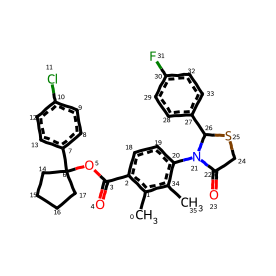 Cc1c(C(=O)OC2(c3ccc(Cl)cc3)CCCC2)ccc(N2C(=O)CSC2c2ccc(F)cc2)c1C